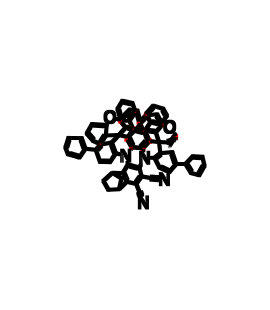 N#Cc1c(C#N)c(N2c3ccc(-c4ccccc4)cc3C3(c4ccccc4Oc4ccccc43)c3cc(-c4ccccc4)ccc32)c(N2c3ccc(-c4ccccc4)cc3C3(c4ccccc4Oc4ccccc43)c3cc(-c4ccccc4)ccc32)c2c1C1CCC2C1